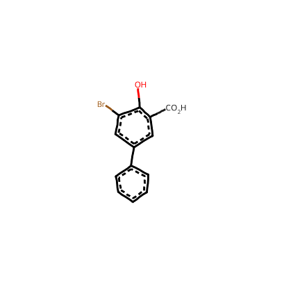 O=C(O)c1cc(-c2ccccc2)cc(Br)c1O